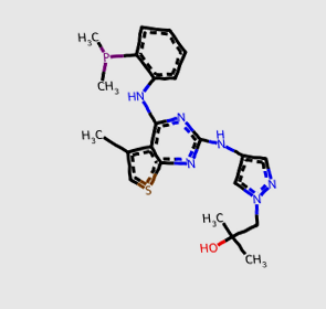 Cc1csc2nc(Nc3cnn(CC(C)(C)O)c3)nc(Nc3ccccc3P(C)C)c12